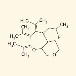 CC(C)=C1OC2COCCC2N(CC(C)F)C(=C(C)C)C1=C(C)C